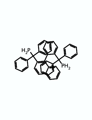 PC(c1ccccc1)(c1ccccc1)c1ccccc1-c1c(C(P)(c2ccccc2)c2ccccc2)ccc2ccccc12